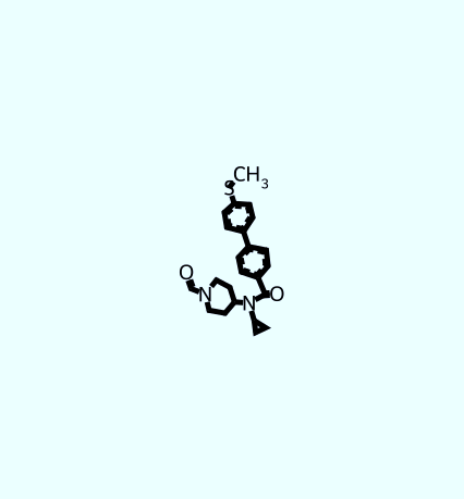 CSc1ccc(-c2ccc(C(=O)N(C3CC3)C3CCN(C=O)CC3)cc2)cc1